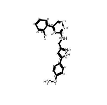 COc1ccc(-c2cc(CNc3nncc(-c4ccccc4Cl)n3)n[nH]2)cc1